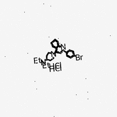 CCN(CC)C1CCN(c2cc(-c3ccc(Br)cc3)nc3ccccc23)CC1.Cl.Cl